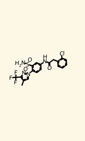 Cc1cn(-c2ccc(NC(=O)Cc3ccccc3Cl)cc2S(N)(=O)=O)nc1C(F)(F)F